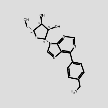 NCc1ccc(-c2ncnc3c2ncn3[C@@H]2O[C@H](CO)[C@@H](O)[C@H]2O)cc1